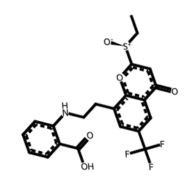 CC[S@+]([O-])c1cc(=O)c2cc(C(F)(F)F)cc(CCNc3ccccc3C(=O)O)c2o1